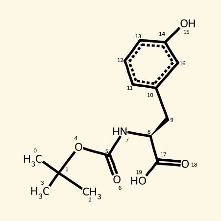 CC(C)(C)OC(=O)N[C@@H](Cc1cccc(O)c1)C(=O)O